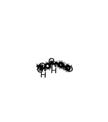 CC(C)(C)S(=O)(=O)NC1CCC(C(=O)NCc2ccc(N3CCOCC3)cc2)CC1